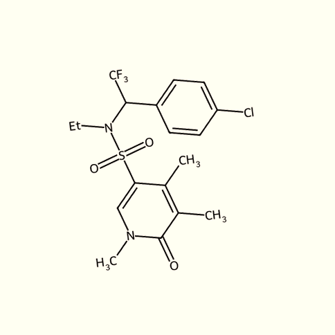 CCN(C(c1ccc(Cl)cc1)C(F)(F)F)S(=O)(=O)c1cn(C)c(=O)c(C)c1C